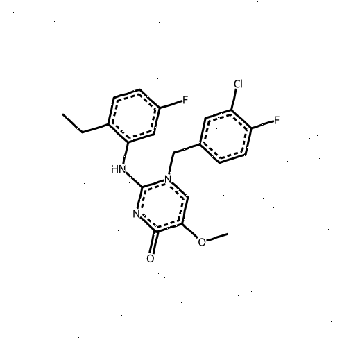 CCc1ccc(F)cc1Nc1nc(=O)c(OC)cn1Cc1ccc(F)c(Cl)c1